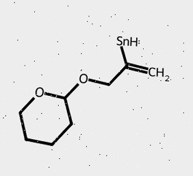 C=[C]([SnH])COC1CCCCO1